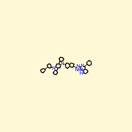 N=C(/N=c1/nc(-c2ccccc2)c2ccccc2[nH]1)c1ccc2cc(-n3c4ccccc4c4cc5c(cc43)c3ccccc3n5-c3cccc(-c4ccccc4)c3)ccc2c1